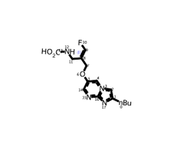 CCCCc1cn2cc(OC/C(=C/F)CNC(=O)O)cnc2n1